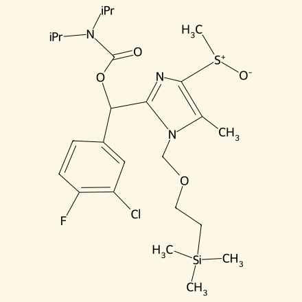 Cc1c([S+](C)[O-])nc(C(OC(=O)N(C(C)C)C(C)C)c2ccc(F)c(Cl)c2)n1COCC[Si](C)(C)C